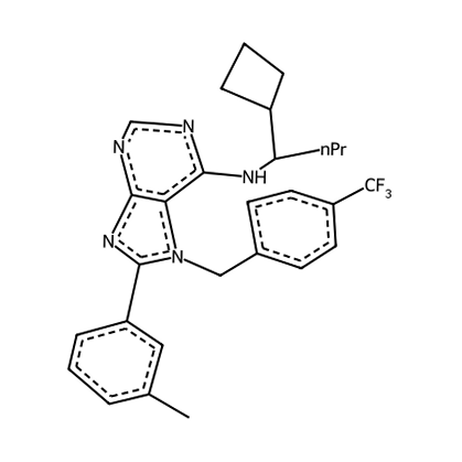 CCCC(Nc1ncnc2nc(-c3cccc(C)c3)n(Cc3ccc(C(F)(F)F)cc3)c12)C1CCC1